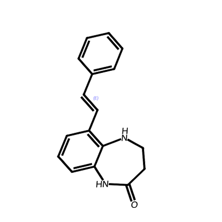 O=C1CCNc2c(/C=C/c3ccccc3)cccc2N1